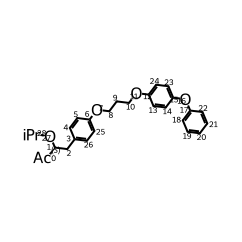 CC(=O)[C@H](Cc1ccc(OCCCOc2ccc(Oc3ccccc3)cc2)cc1)OC(C)C